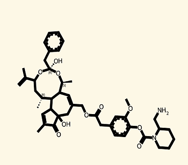 C=C(C)C1C[C@@H](C)C2C(C=C(COC(=O)Cc3ccc(OC(=O)N4CCCCC4CN)c(OC)c3)CC3(O)C(=O)C(C)=CC23)[C@H](C)O[C@](O)(Cc2ccccc2)O1